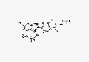 CC(CCCN)c1ccc(-c2[nH]c3cc(F)cc4c3c2CONC4=O)cc1F